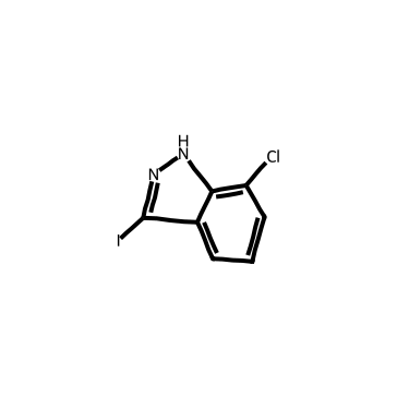 Clc1cccc2c(I)n[nH]c12